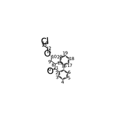 O=C(c1ccccc1)C(CCOCCCl)c1ccccc1